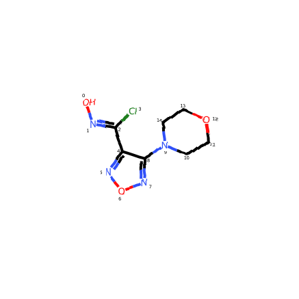 ON=C(Cl)c1nonc1N1CCOCC1